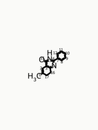 CC1=Cc2c(nc(-c3ccccc3)[nH]c2=O)CC1